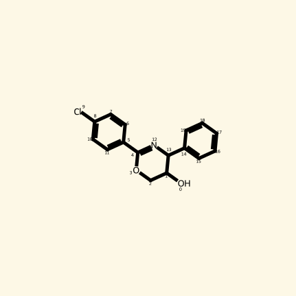 OC1COC(c2ccc(Cl)cc2)=NC1c1ccccc1